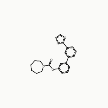 O=C(Oc1cccc(-c2cncc(-c3nnco3)c2)c1)N1CCCCCC1